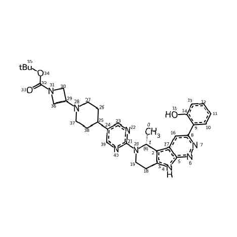 C[C@@H]1c2c([nH]c3nnc(-c4ccccc4O)cc23)CCN1c1ncc(C2CCN(C3CN(C(=O)OC(C)(C)C)C3)CC2)cn1